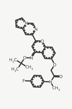 CN(C(=O)COc1ccc2oc(-c3cc4cccn4cn3)cc(=NOC(C)(C)C)c2c1)c1ccc(F)cc1